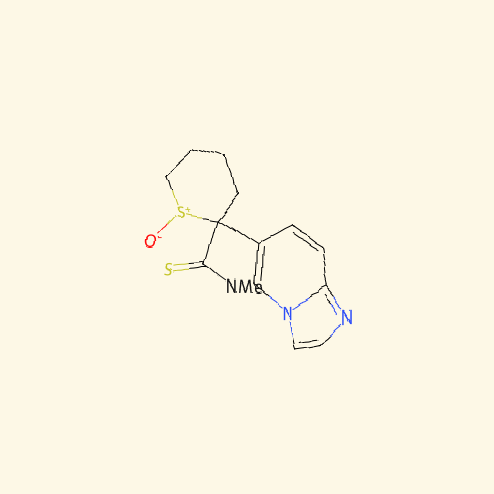 CNC(=S)C1(c2ccc3nccn3c2)CCCC[S+]1[O-]